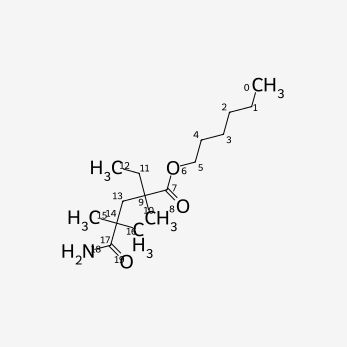 CCCCCCOC(=O)C(C)(CC)CC(C)(C)C(N)=O